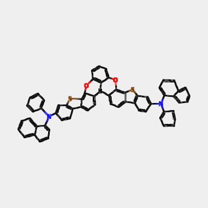 c1ccc(N(c2ccc3c(c2)sc2c4c(ccc23)B2c3ccc5c(sc6cc(N(c7ccccc7)c7cccc8ccccc78)ccc65)c3Oc3cccc(c32)O4)c2cccc3ccccc23)cc1